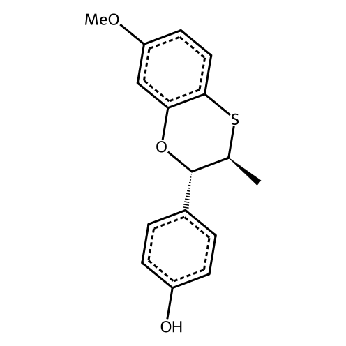 COc1ccc2c(c1)O[C@@H](c1ccc(O)cc1)[C@H](C)S2